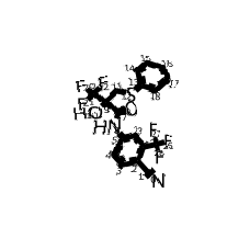 N#Cc1ccc(NC(=O)C(O)(CSc2ccccc2)C(F)(F)F)cc1C(F)(F)F